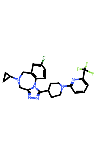 FC(F)(F)c1cccc(N2CCC(c3nnc4n3-c3ccc(Cl)cc3CN(C3CC3)C4)CC2)n1